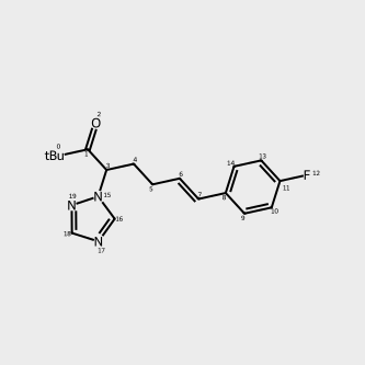 CC(C)(C)C(=O)C(CCC=Cc1ccc(F)cc1)n1cncn1